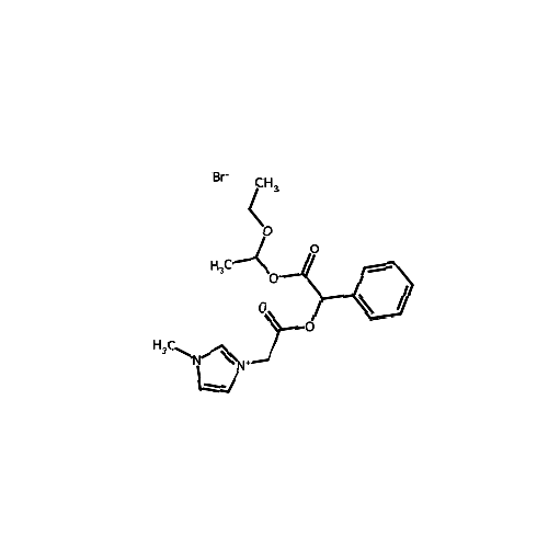 CCOC(C)OC(=O)C(OC(=O)C[n+]1ccn(C)c1)c1ccccc1.[Br-]